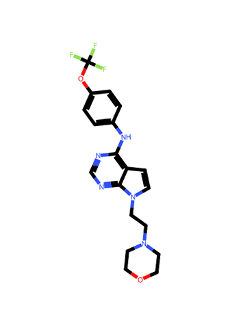 FC(F)(F)Oc1ccc(Nc2ncnc3c2ccn3CCN2CCOCC2)cc1